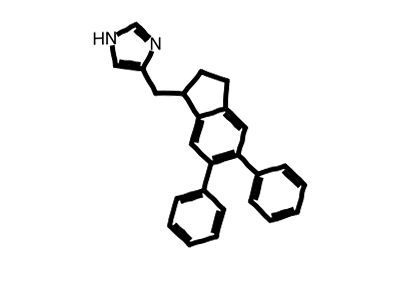 c1ccc(-c2cc3c(cc2-c2ccccc2)C(Cc2c[nH]cn2)CC3)cc1